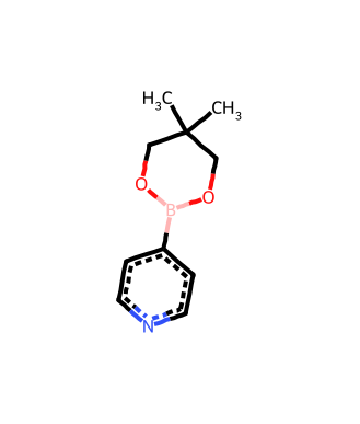 CC1(C)COB(c2ccncc2)OC1